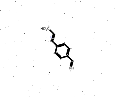 N=Cc1ccc(/C=C/C(=O)O)cc1